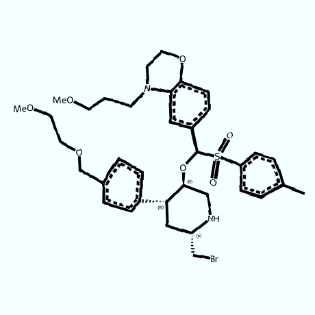 COCCCN1CCOc2ccc(C(O[C@H]3CN[C@H](CBr)C[C@@H]3c3ccc(COCCOC)cc3)S(=O)(=O)c3ccc(C)cc3)cc21